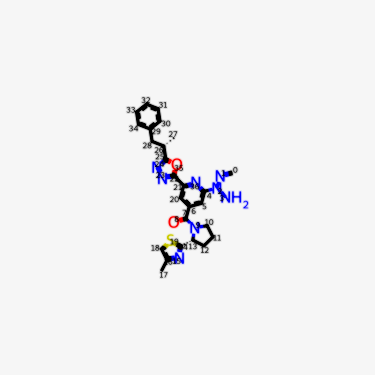 C=NN(N)c1cc(C(=O)N2CCC[C@@H]2c2nc(C)cs2)cc(-c2nnc([C@@H](C)Cc3ccccc3)o2)n1